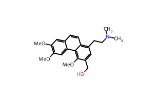 COc1cc2ccc3c(CCN(C)C)cc(CO)c(OC)c3c2cc1OC